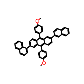 COc1ccc(-c2c3ccc(-c4cccc5ccccc45)cc3c(-c3ccc(OC)cc3)c3ccc(-c4ccc5ccccc5c4)cc23)cc1